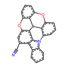 N#Cc1cc2c3c4c1c1ccccc1n4-c1cccc4c1B3c1c(cccc1O2)O4